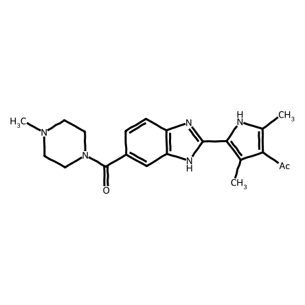 CC(=O)c1c(C)[nH]c(-c2nc3ccc(C(=O)N4CCN(C)CC4)cc3[nH]2)c1C